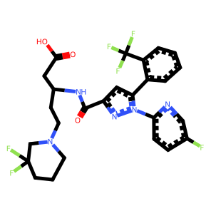 O=C(O)CC(CCN1CCCC(F)(F)C1)NC(=O)c1cc(-c2ccccc2C(F)(F)F)n(-c2ccc(F)cn2)n1